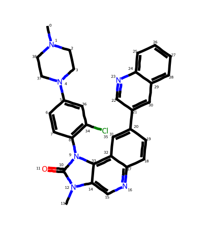 CN1CCN(c2ccc(-n3c(=O)n(C)c4cnc5ccc(-c6cnc7ccccc7c6)cc5c43)c(Cl)c2)CC1